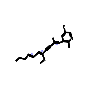 CCC/C=C/C=C(/C#C/C(C)=C/c1cc(F)cnc1C)SC